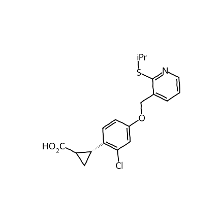 CC(C)Sc1ncccc1COc1ccc([C@@H]2CC2C(=O)O)c(Cl)c1